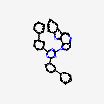 c1ccc(-c2cccc(-c3nc(-c4cccc(-c5ccccc5)c4)nc(-n4ccc5ncc6c7ccccc7[nH]c6c54)n3)c2)cc1